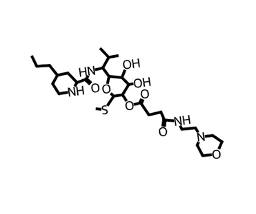 CCCC1CCNC(C(=O)NC(C(C)C)C2OC(SC)C(OC(=O)CCC(=O)NCCN3CCOCC3)C(O)C2O)C1